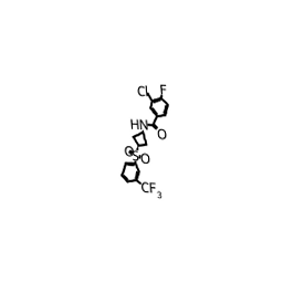 O=C(N[C@H]1C[C@H](S(=O)(=O)c2cccc(C(F)(F)F)c2)C1)c1ccc(F)c(Cl)c1